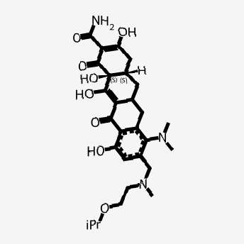 CC(C)OCCN(C)Cc1cc(O)c2c(c1N(C)C)CC1C[C@H]3CC(O)=C(C(N)=O)C(=O)[C@@]3(O)C(O)=C1C2=O